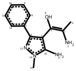 C/C(N)=C(\O)c1c(-c2ccccc2)nn(C)c1N